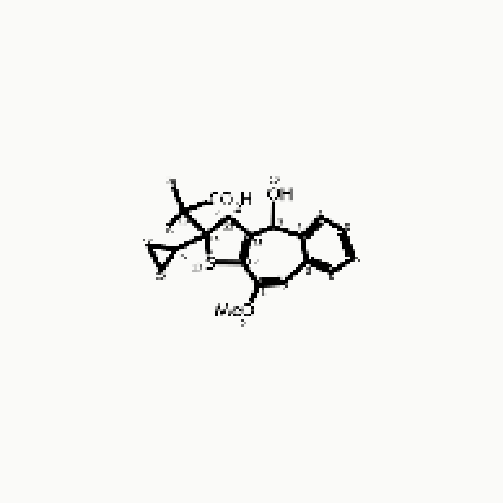 COC1=Cc2ccccc2C(O)C2=C1SC(C1CC1)(C(C)(C)C(=O)O)C2